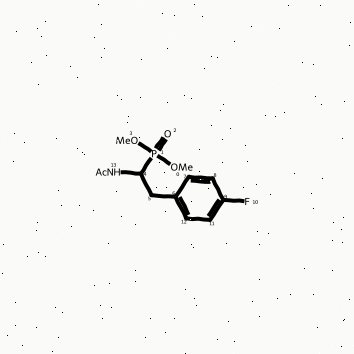 COP(=O)(OC)C(Cc1ccc(F)cc1)NC(C)=O